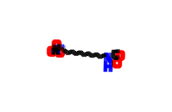 O=C1OCCC1NCCCCCCCCCCCO[N+](=O)[O-]